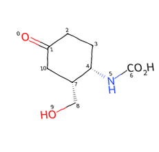 O=C1CC[C@H](NC(=O)O)[C@H](CO)C1